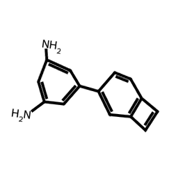 Nc1cc(N)cc(-c2ccc3c(c2)C=C3)c1